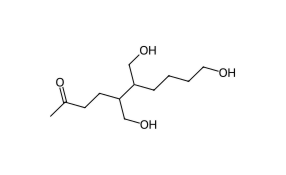 CC(=O)CCC(CO)C(CO)CCCCO